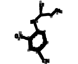 CC[C@@H](COC(C)=O)Nc1ccc(C#N)cc1[N+](=O)[O-]